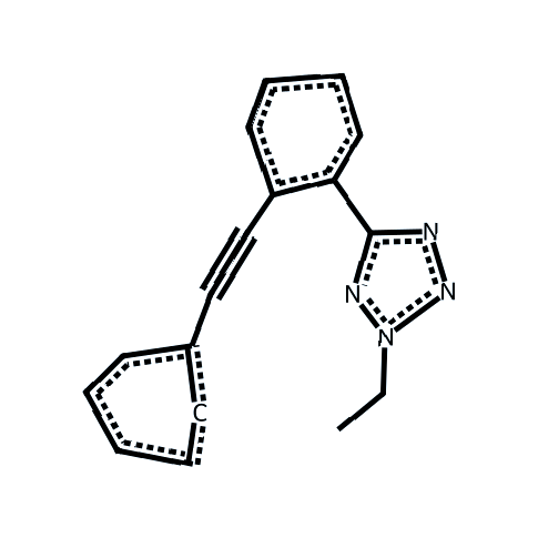 CCn1nnc(-c2ccccc2C#Cc2ccccc2)n1